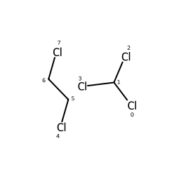 ClC(Cl)Cl.ClCCCl